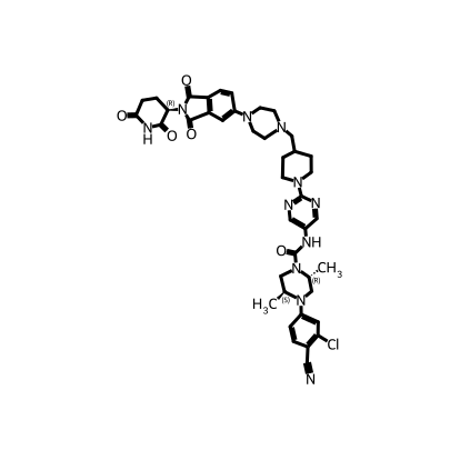 C[C@@H]1CN(c2ccc(C#N)c(Cl)c2)[C@@H](C)CN1C(=O)Nc1cnc(N2CCC(CN3CCN(c4ccc5c(c4)C(=O)N([C@@H]4CCC(=O)NC4=O)C5=O)CC3)CC2)nc1